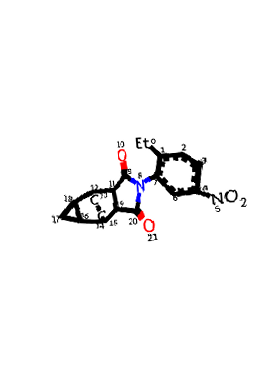 CCc1ccc([N+](=O)[O-])cc1N1C(=O)C2C3CCC(C4CC43)C2C1=O